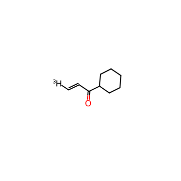 [3H]/C=C/C(=O)C1CCCCC1